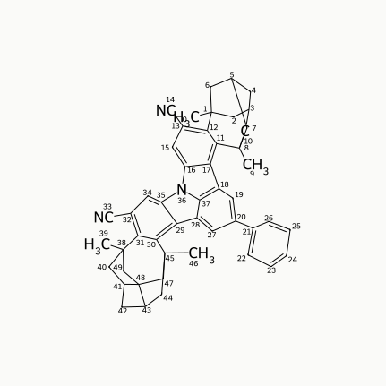 CC12CC3CC(C1)CC(C)(C3)c1c2c(C#N)cc2c1c1cc(-c3ccccc3)cc3c4c5c(c(C#N)cc4n2c13)C1(C)CC2CC3CC5(C)CC23C1